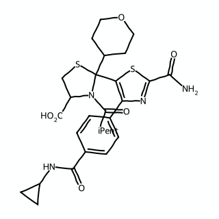 CCCC(C)C(=O)N1C(C(=O)O)CSC1(c1sc(C(N)=O)nc1-c1ccc(C(=O)NC2CC2)cc1)C1CCOCC1